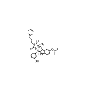 C[C@@]12Cc3c([nH]c4ccc(OC(F)F)cc34)[C@@H](c3cccc(O)c3)N1C(=O)N(CCCN1CC=CCC1)C2=O